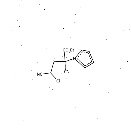 CCOC(=O)C(C#N)(CC(Cl)C#N)n1cccc1